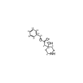 O=C(CC1(O)CCNCC1)OCc1ccccc1